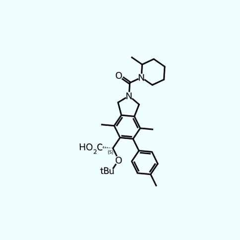 Cc1ccc(-c2c(C)c3c(c(C)c2[C@H](OC(C)(C)C)C(=O)O)CN(C(=O)N2CCCCC2C)C3)cc1